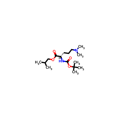 CC(C)COC(=O)[C@H](CCCN(C)C)NC(=O)OC(C)(C)C